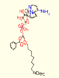 CCCCCCCCCCCCCCCCCCOC[C@H](COP(=O)(O)OC[C@H]1O[C@@](C#N)(c2ccc3c(N)ccnn23)[C@H](O)[C@@H]1O)OC(=O)c1ccccc1